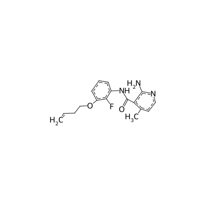 C=CCCOc1cccc(NC(=O)c2c(C)ccnc2N)c1F